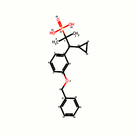 CC(C)(C(c1cccc(OCc2ccccc2)c1)C1CC1)P(=O)(O)O